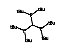 CC(C)(C)P(C(P(C(C)(C)C)C(C)(C)C)P(C(C)(C)C)C(C)(C)C)C(C)(C)C